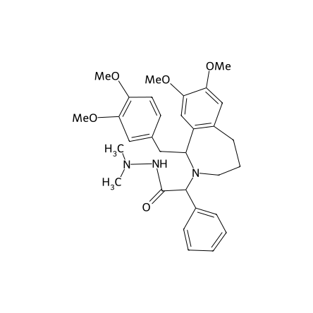 COc1ccc(CC2c3cc(OC)c(OC)cc3CCCN2C(C(=O)NN(C)C)c2ccccc2)cc1OC